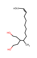 CCCCCCCC/C=C\CCCCCCC(C)[C](CCO)CCO